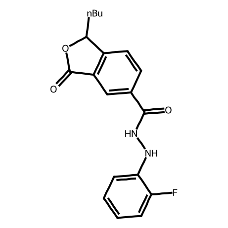 CCCCC1OC(=O)c2cc(C(=O)NNc3ccccc3F)ccc21